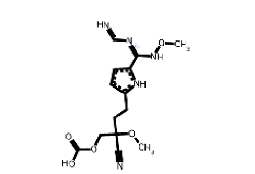 CON/C(=N/C=N)c1ccc(CCC(C#N)(COC(=O)O)OC)[nH]1